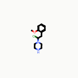 COc1ccccc1CC(Cl)N1CCNCC1